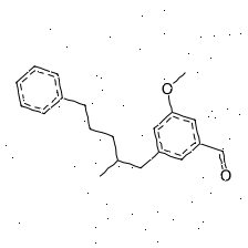 COc1cc(C=O)cc(CC(C)CCCc2ccccc2)c1